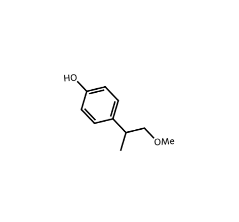 COCC(C)c1ccc(O)cc1